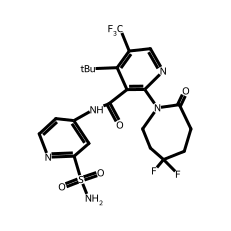 CC(C)(C)c1c(C(F)(F)F)cnc(N2CCC(F)(F)CCC2=O)c1C(=O)Nc1ccnc(S(N)(=O)=O)c1